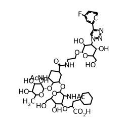 CC(=O)NC1CC(C(=O)NCCO[C@H]2OC(CO)[C@@H](O)C(n3cc(-c4cccc(F)c4)nn3)C2O)C[C@@H](O[C@@H]2OC(CO)[C@H](O)C(O[C@@H](CC3CCCCC3)C(=O)O)C2NC(C)=O)C1O[C@@H]1OC(C)[C@@H](O)C(O)C1O